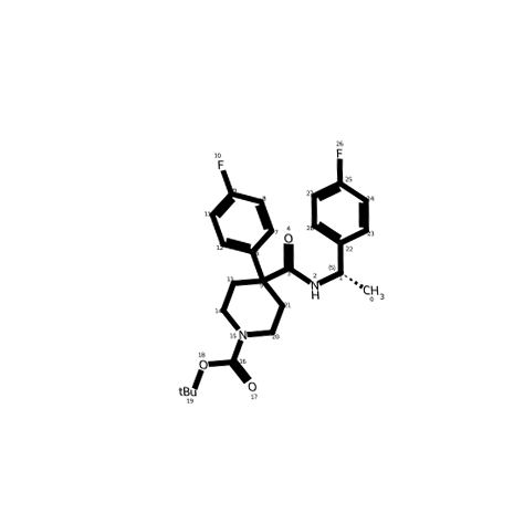 C[C@H](NC(=O)C1(c2ccc(F)cc2)CCN(C(=O)OC(C)(C)C)CC1)c1ccc(F)cc1